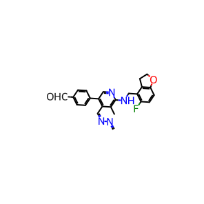 C=N/N=C\c1c(-c2ccc(C=O)cc2)cnc(NCc2c(F)ccc3c2CCO3)c1C